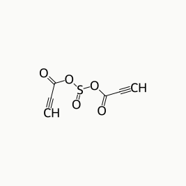 C#CC(=O)OS(=O)OC(=O)C#C